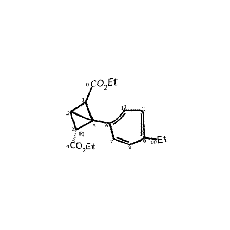 CCOC(=O)C1C2[C@@H](C(=O)OCC)C12c1ccc(CC)cc1